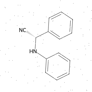 N#C[C@@H](Nc1ccccc1)c1ccccc1